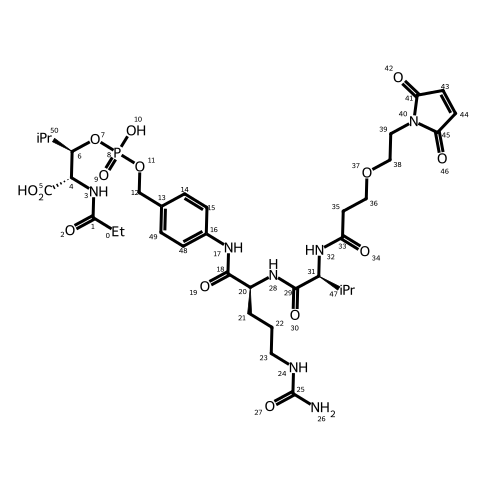 CCC(=O)N[C@H](C(=O)O)[C@H](OP(=O)(O)OCc1ccc(NC(=O)[C@H](CCCNC(N)=O)NC(=O)[C@@H](NC(=O)CCOCCN2C(=O)C=CC2=O)C(C)C)cc1)C(C)C